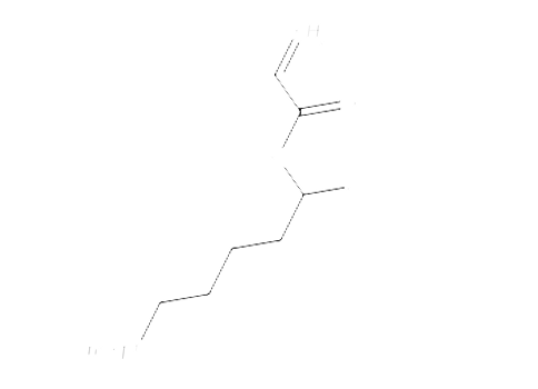 C=CC(=O)OC(C)CCCCCCCCCCC